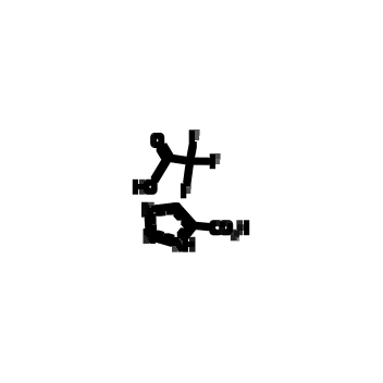 O=C(O)C(F)(F)F.O=C(O)c1cnn[nH]1